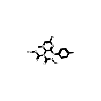 Cc1ccc(OC2=NC(Br)=CN(I)C2N(C(=O)OC(C)(C)C)C(=O)OC(C)(C)C)cc1